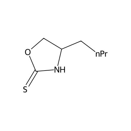 CCCCC1COC(=S)N1